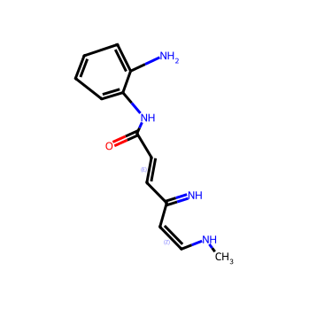 CN/C=C\C(=N)/C=C/C(=O)Nc1ccccc1N